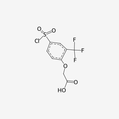 O=C(O)COc1ccc(S(=O)(=O)Cl)cc1C(F)(F)F